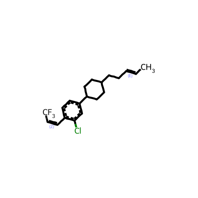 C/C=C/CCC1CCC(c2ccc(/C=C\C(F)(F)F)c(Cl)c2)CC1